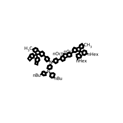 CCCCCCCCC1(CCCCCCCC)c2cc(-c3ccc(N(c4ccc(-c5ccc6c(c5)C(c5ccc7c(c5)CC7)(c5ccc7c(c5)CC7)c5cc(C)ccc5-6)cc4)c4ccc(N(c5ccc(CCCC)cc5)c5ccc(CCCC)cc5)cc4)cc3)ccc2-c2ccc(-c3ccc4c(c3)C(c3ccc(CCCCCC)cc3)(c3ccc(CCCCCC)cc3)c3cc(C)ccc3-4)cc21